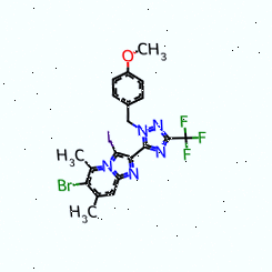 COc1ccc(Cn2nc(C(F)(F)F)nc2-c2nc3cc(C)c(Br)c(C)n3c2I)cc1